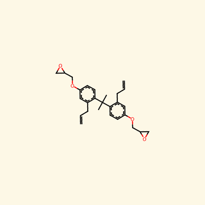 C=CCc1cc(OCC2CO2)ccc1C(C)(C)c1ccc(OCC2CO2)cc1CC=C